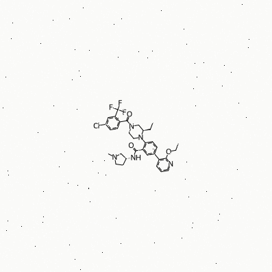 CCOc1ncccc1-c1ccc(N2CCN(C(=O)c3ccc(Cl)cc3C(F)(F)F)C[C@H]2CC)c(C(=O)N[C@@H]2CCN(C)C2)c1